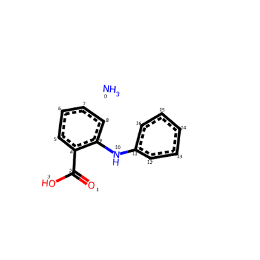 N.O=C(O)c1ccccc1Nc1ccccc1